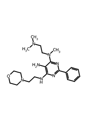 CN(C)CCN(C)c1nc(-c2ccccc2)nc(NCCN2CCOCC2)c1N